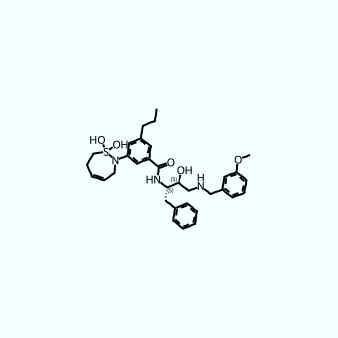 CCCc1cc(C(=O)N[C@@H](Cc2ccccc2)[C@@H](O)CNCc2cccc(OC)c2)cc(N2CC=CCCS2(O)O)c1